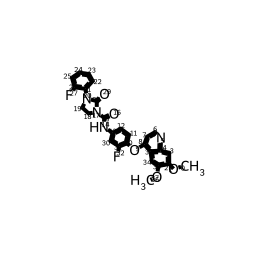 COc1cc2nccc(Oc3ccc(NC(=O)N4CCN(c5ccccc5F)C4=O)cc3F)c2cc1OC